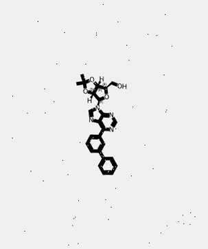 CC1(C)O[C@@H]2[C@H](O1)[C@@H](CO)O[C@H]2n1cnc2c(-c3cccc(-c4ccccc4)c3)ncnc21